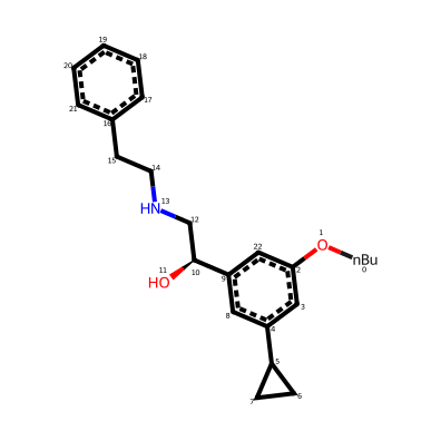 CCCCOc1cc(C2CC2)cc([C@@H](O)CNCCc2ccccc2)c1